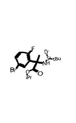 CC(C)OC(=O)C(C)(N[S+]([O-])C(C)(C)C)c1cc(Br)ccc1F